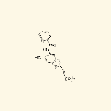 Cl.O=C(O)/C=C/c1cc2cc(NC(=O)c3ccccn3)ccc2s1